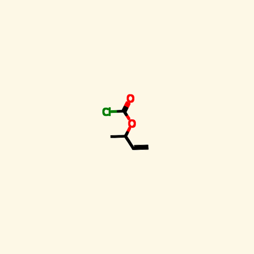 C=CC(C)OC(=O)Cl